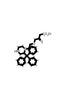 CCOC(=O)CC(=O)COCCN1CCNCC1C(c1ccccc1)(c1ccccc1)c1ccccc1